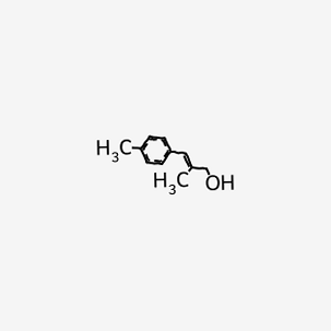 C/C(=C\c1ccc(C)cc1)CO